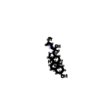 CC(C)[C@@H](C)/C=C/[C@](C)(O)[C@H]1CC[C@H]2C3=CC=C4C[C@@H](O)CC[C@@]4(C)[C@@H]3CC[C@@]21C